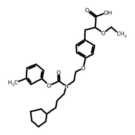 CCOC(Cc1ccc(OCCN(CCCC2CCCCC2)C(=O)Oc2cccc(C)c2)cc1)C(=O)O